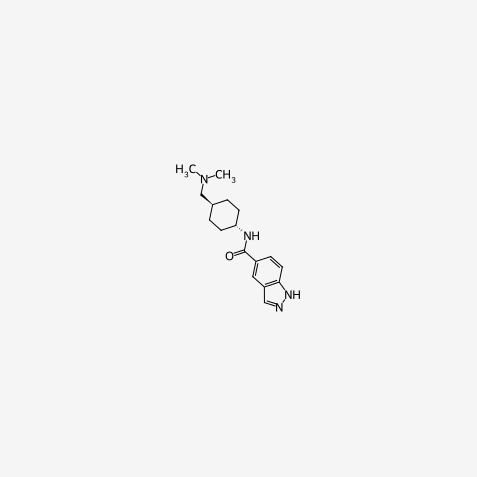 CN(C)C[C@H]1CC[C@H](NC(=O)c2ccc3[nH]ncc3c2)CC1